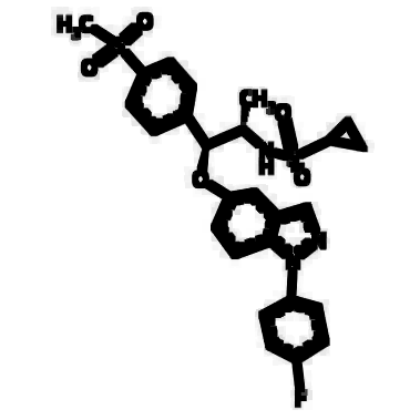 C[C@H](NS(=O)(=O)C1CC1)[C@@H](Oc1ccc2c(cnn2-c2ccc(F)cc2)c1)c1ccc(S(C)(=O)=O)cc1